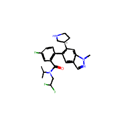 CC(C)N(CC(F)F)C(=O)c1cc(F)ccc1-c1cc2cnn(C)c2cc1[C@@H]1CCNC1